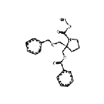 CC(C)(C)OC(=O)N1CCC[C@]1(COCc1ccccc1)COC(=O)c1ccccc1